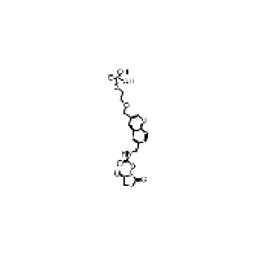 O=C(NCc1ccc2ncc(COCCOP(=O)(O)O)cc2c1)ON1C(=O)CCC1=O